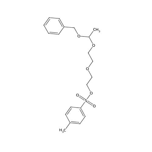 Cc1ccc(S(=O)(=O)OCCOCCOC(C)OCc2ccccc2)cc1